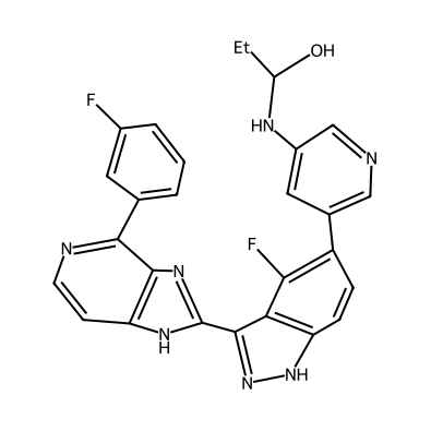 CCC(O)Nc1cncc(-c2ccc3[nH]nc(-c4nc5c(-c6cccc(F)c6)nccc5[nH]4)c3c2F)c1